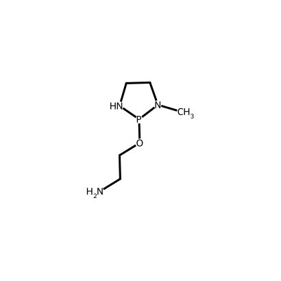 CN1CCNP1OCCN